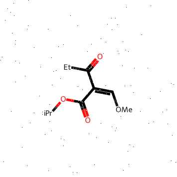 CCC(=O)C(=COC)C(=O)OC(C)C